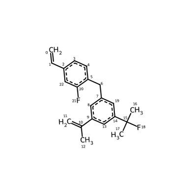 C=Cc1ccc(Cc2cc(C(=C)C)cc(C(C)(C)F)c2)c(F)c1